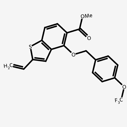 C=Cc1cc2c(OCc3ccc(OC(F)(F)F)cc3)c(C(=O)OC)ccc2s1